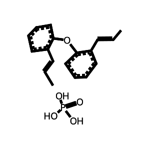 CC=Cc1ccccc1Oc1ccccc1C=CC.O=P(O)(O)O